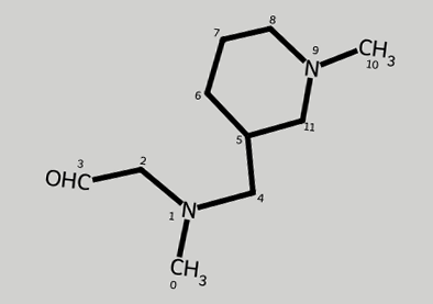 CN(CC=O)CC1CCCN(C)C1